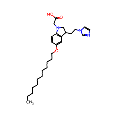 CCCCCCCCCCCCOc1ccc2c(c1)C(CCn1ccnc1)CN2CC(=O)O